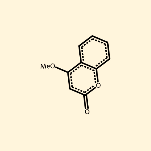 COc1cc(=O)oc2ccc[c]c12